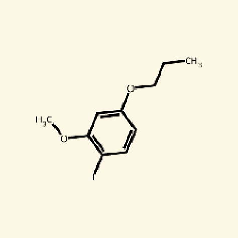 CCCOc1ccc(I)c(OC)c1